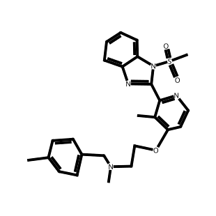 Cc1ccc(CN(C)CCOc2ccnc(-c3nc4ccccc4n3S(C)(=O)=O)c2C)cc1